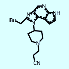 CCC(C)Cc1nc2cnc3[nH]ccc3c2n1C1CCN(CCC#N)CC1